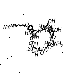 CC[C@H](C)C1NC(=O)CNC(=O)[C@H](Cc2c([S@@+](C)[O-])[nH]c3cc(OCCCCCCNC)ccc23)NC(=O)C([C@@H](C)[C@@H](O)CO)NC(=O)[C@@H]2C[C@@H](O)CN2C(=O)[C@H](CC(N)=O)NC(=O)[C@H](C)NC(=O)CNC1=O